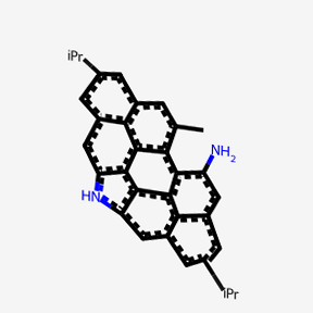 Cc1cc2cc(C(C)C)cc3cc4[nH]c5cc6cc(C(C)C)cc7cc(N)c8c1c(c23)c4c5c8c76